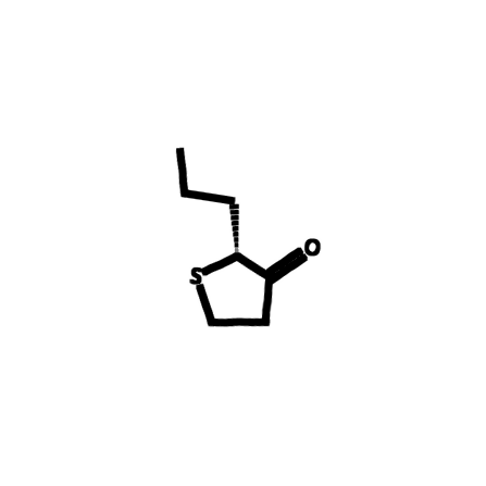 CCC[C@H]1SCCC1=O